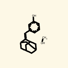 CO.Oc1cccc(C=C2C3CC4CC(C3)CC2C4)c1